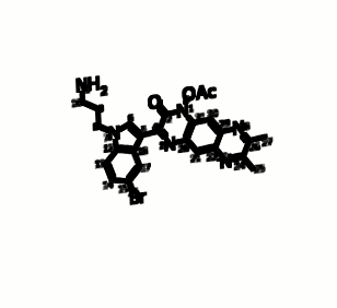 CC(=O)On1c(=O)c(-c2cn(CCCN)c3ccc(Br)cc23)nc2cc3nc(C)c(C)nc3cc21